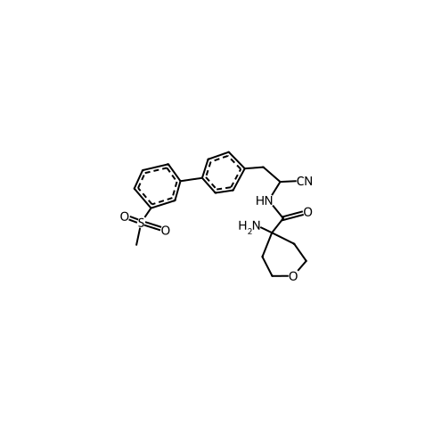 CS(=O)(=O)c1cccc(-c2ccc(CC(C#N)NC(=O)C3(N)CCOCC3)cc2)c1